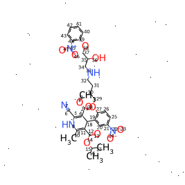 COC(=O)C1=C(C#N)NC(C)=C(C(=O)OC(C)C)C1c1cc([N+](=O)[O-])ccc1OCCCCNCC(O)COc1ccccc1[N+](=O)[O-]